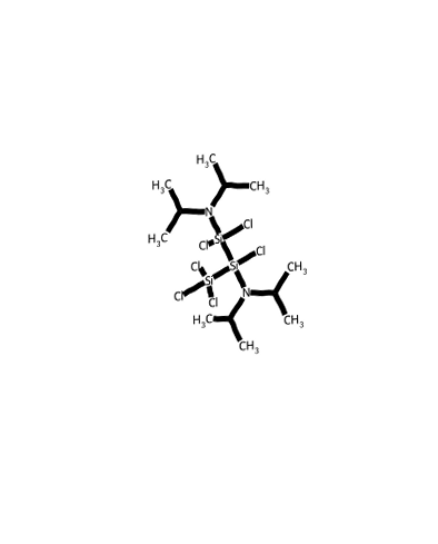 CC(C)N(C(C)C)[Si](Cl)(Cl)[Si](Cl)(N(C(C)C)C(C)C)[Si](Cl)(Cl)Cl